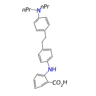 CCCN(CCC)c1ccc(CCc2ccc(Nc3ccccc3C(=O)O)cc2)cc1